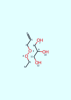 C=CCOOCC.OCC(O)CO